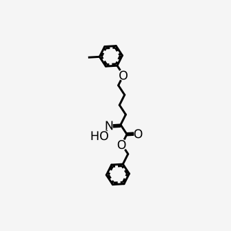 Cc1cccc(OCCCCC(=NO)C(=O)OCc2ccccc2)c1